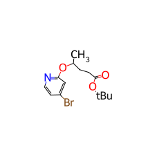 CC(CCC(=O)OC(C)(C)C)Oc1cc(Br)ccn1